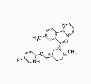 Cc1ccc(-c2ncccn2)c(C(=O)N2C[C@H](COC3C=CC(F)=CN3)CC[C@H]2C)c1